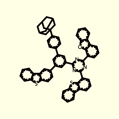 c1ccc2c(c1)oc1c(-c3nc(-c4cc(-c5ccc(C67CC8CC(CC(C8)C6)C7)cc5)cc(-c5ccc6sc7ccccc7c6c5)c4)nc(-c4cccc5c4sc4ccccc45)n3)cccc12